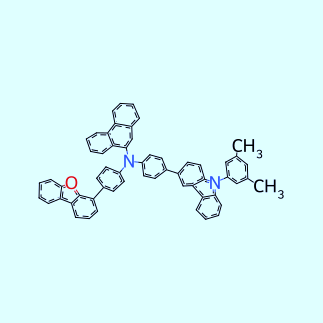 Cc1cc(C)cc(-n2c3ccccc3c3cc(-c4ccc(N(c5ccc(-c6cccc7c6oc6ccccc67)cc5)c5cc6ccccc6c6ccccc56)cc4)ccc32)c1